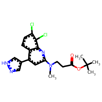 CN(CCC(=O)OC(C)(C)C)c1cc(-c2cn[nH]c2)c2ccc(Cl)c(Cl)c2n1